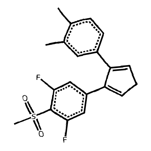 Cc1ccc(C2=CCC=C2c2cc(F)c(S(C)(=O)=O)c(F)c2)cc1C